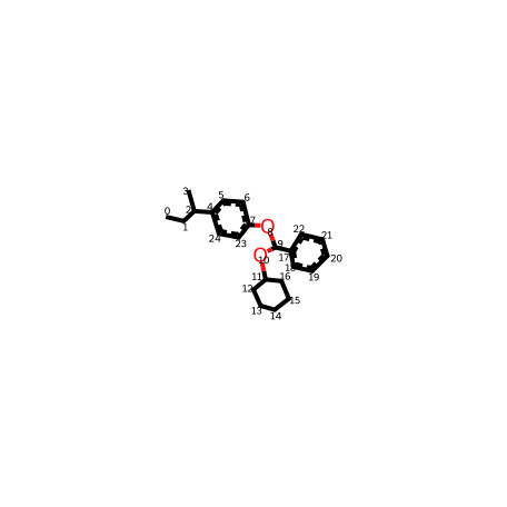 CCC(C)c1ccc(OC(OC2CCCCC2)c2ccccc2)cc1